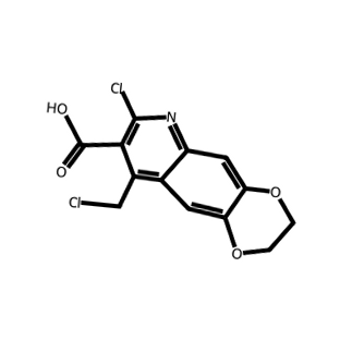 O=C(O)c1c(Cl)nc2cc3c(cc2c1CCl)OCCO3